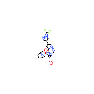 O=C([C@H]1C[C@@H]1CO)N1C2CCC1CN(c1ncnn3cc(-c4cnn(C(F)F)c4)cc13)C2